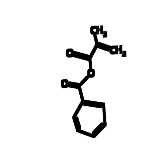 C=C(C)C(=O)OC(=O)c1ccccc1